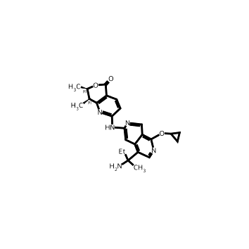 CCC(C)(N)c1cnc(OC2CC2)c2cnc(Nc3ccc4c(n3)[C@@H](C)[C@@H](C)OC4=O)cc12